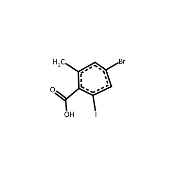 Cc1cc(Br)cc(I)c1C(=O)O